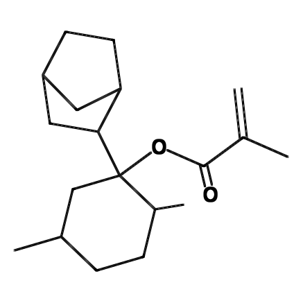 C=C(C)C(=O)OC1(C2CC3CCC2C3)CC(C)CCC1C